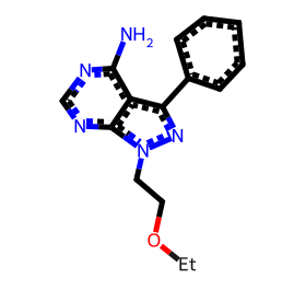 CCOCCn1nc(-c2ccccc2)c2c(N)ncnc21